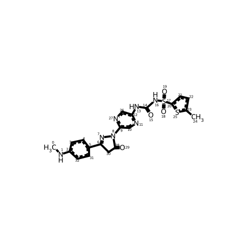 CNc1ccc(C2=NN(c3cnc(NC(=O)NS(=O)(=O)c4ccc(C)s4)cn3)C(=O)C2)cc1